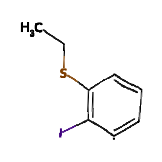 CCSc1ccc[c]c1I